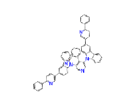 N#Cc1ccccc1-c1c(-n2c3ccccc3c3cc(-c4ccc(-c5ccccc5)nc4)ccc32)cncc1-n1c2ccccc2c2cc(-c3ccc(-c4ccccc4)nc3)ccc21